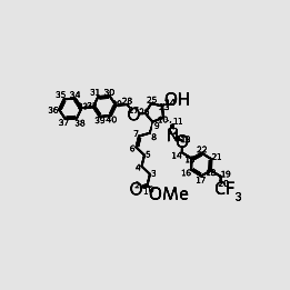 COC(=O)CCC/C=C\C[C@@H]1[C@@H](C=NOCc2ccc(CC(F)(F)F)cc2)[C@H](O)C[C@@H]1OCc1ccc(-c2ccccc2)cc1